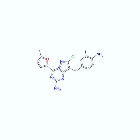 Cc1ccc(-c2nc(N)nc3c(Cc4ccc(N)c(C)c4)c(Cl)nn23)o1